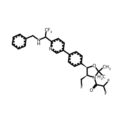 CC1(C)O[C@H](c2ccc(-c3ccc(C(NCc4ccccc4)C(F)(F)F)nc3)cc2)[C@H](CF)N1C(=O)C(F)F